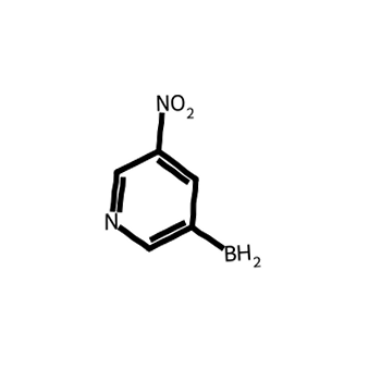 Bc1cncc([N+](=O)[O-])c1